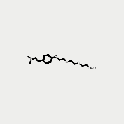 COCCOCCOCCOc1ccc(CC[Si](C)C)cc1